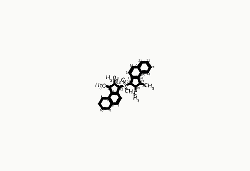 CC1c2c(ccc3c2CCCC3)C(S(C)(C)C2c3ccc4ccccc4c3C(C)C2C)C1C